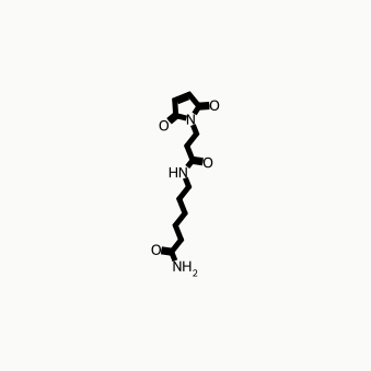 NC(=O)CCCCCNC(=O)CCN1C(=O)C=CC1=O